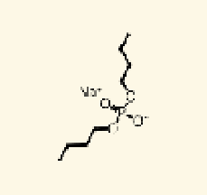 CCCCOP(=O)([O-])OCCCC.[Na+]